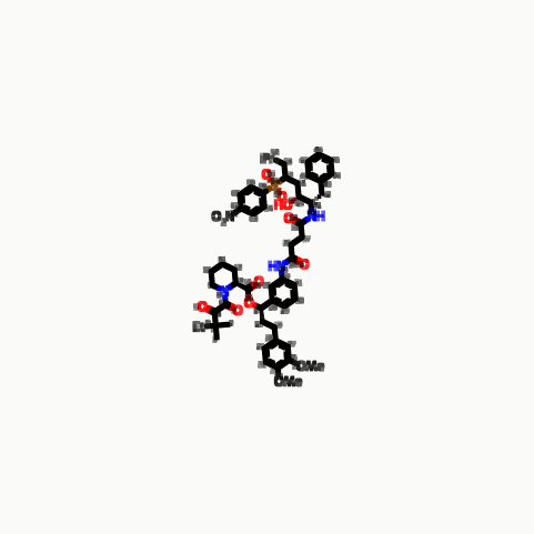 CCC(C)(C)C(=O)C(=O)N1CCCC[C@H]1C(=O)O[C@H](CCc1ccc(OC)c(OC)c1)c1cccc(NC(=O)CCC(=O)N[C@@H](Cc2ccccc2)[C@H](O)CC(CC(C)C)S(=O)(=O)c2ccc([N+](=O)[O-])cc2)c1